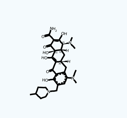 CC1CCN(Cc2cc(N(C)C)c3c(c2O)C(=O)C2=C(O)[C@]4(O)C(=O)C(C(N)=O)=C(O)[C@@H](N(C)C)[C@@H]4C[C@@H]2C3)CC1